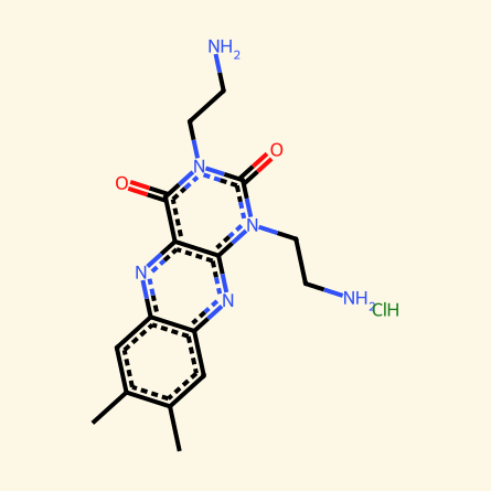 Cc1cc2nc3c(=O)n(CCN)c(=O)n(CCN)c3nc2cc1C.Cl